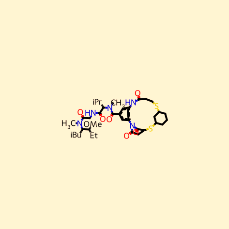 CCC(C)C(C(CC)OC)N(C)C(=O)CNC(=O)C(C(C)C)N(C)C(=O)c1cc2cc(c1)N1C(=O)CC(SC3CCCC(C3)SCCC(=O)N2)C1=O